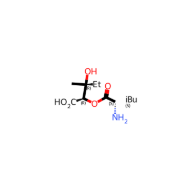 CC[C@H](C)[C@H](N)C(=O)O[C@@H](C(=O)O)[C@](C)(O)CC